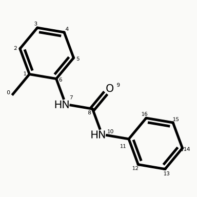 Cc1ccccc1NC(=O)Nc1cc[c]cc1